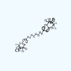 CC1(C)CC(OC(=O)CCCCCCCCC(=O)OC2CC(C)(C)N(Cl)C(C)(C)C2)CC(C)(C)N1Cl